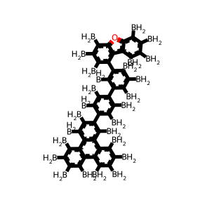 Bc1c(B)c(-c2c(B)c(B)c(-c3c(B)c(B)c4c5c(B)c(B)c(B)c(B)c5c5c(B)c(B)c(B)c(B)c5c4c3B)c(B)c2B)c(B)c(-c2c(B)c(B)c(B)c3oc4c(B)c(B)c(B)c(B)c4c23)c1B